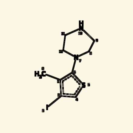 Cc1c(I)csc1N1CCNCC1